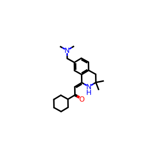 CN(C)Cc1ccc2c(c1)C(=CC(=O)C1CCCCC1)NC(C)(C)C2